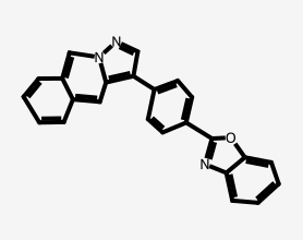 c1ccc2cn3ncc(-c4ccc(-c5nc6ccccc6o5)cc4)c3cc2c1